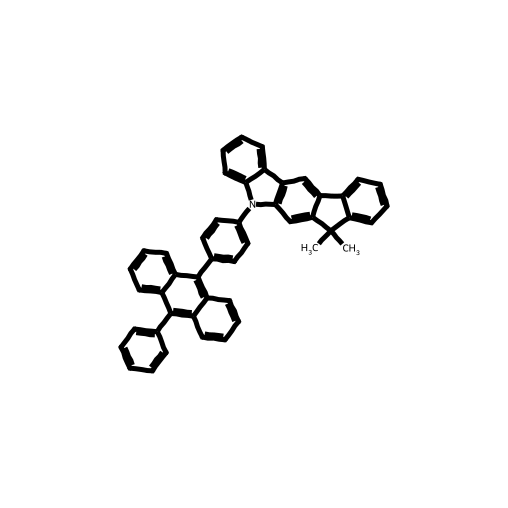 CC1(C)c2ccccc2-c2cc3c4ccccc4n(-c4ccc(-c5c6ccccc6c(-c6ccccc6)c6ccccc56)cc4)c3cc21